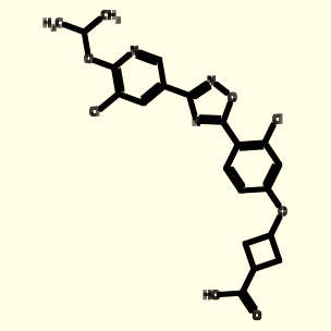 CC(C)Oc1ncc(-c2noc(-c3ccc(OC4CC(C(=O)O)C4)cc3Cl)n2)cc1Cl